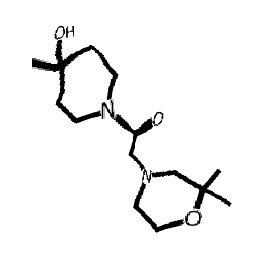 CC1(O)CCN(C(=O)CN2CCOC(C)(C)C2)CC1